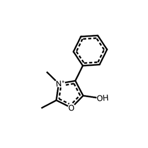 Cc1oc(O)c(-c2ccccc2)[n+]1C